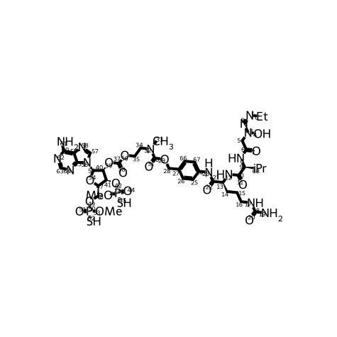 CC/N=N\N(O)CC(=O)N[C@H](C(=O)N[C@@H](CCCNC(N)=O)C(=O)Nc1ccc(COC(=O)N(C)CCOC(=O)O[C@@H]2[C@H](OP(=O)(S)OC)[C@@H](COP(=O)(S)OC)O[C@H]2n2cnc3c(N)ncnc32)cc1)C(C)C